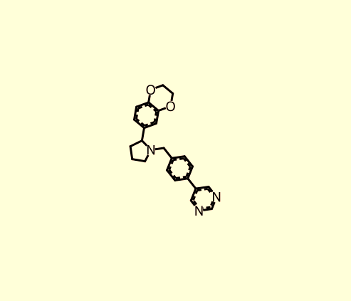 c1ncc(-c2ccc(CN3CCCC3c3ccc4c(c3)OCCO4)cc2)cn1